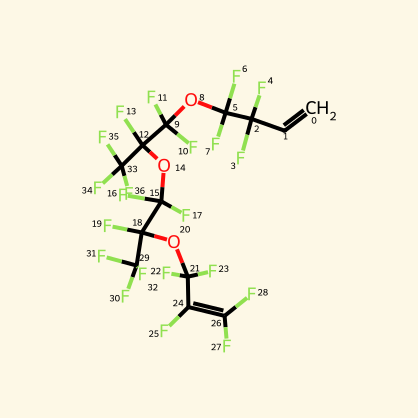 C=CC(F)(F)C(F)(F)OC(F)(F)C(F)(OC(F)(F)C(F)(OC(F)(F)C(F)=C(F)F)C(F)(F)F)C(F)(F)F